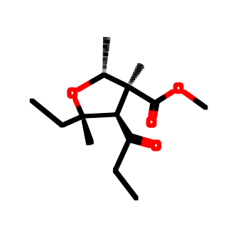 CCC(=O)[C@@H]1[C@](C)(C(=O)OC)[C@@H](C)O[C@@]1(C)CC